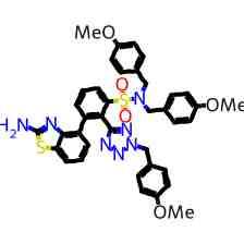 COc1ccc(CN(Cc2ccc(OC)cc2)S(=O)(=O)c2cccc(-c3cccc4sc(N)nc34)c2-c2nnn(Cc3ccc(OC)cc3)n2)cc1